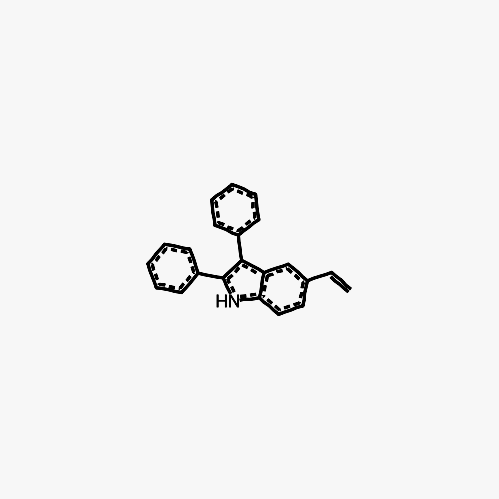 C=Cc1ccc2[nH]c(-c3ccccc3)c(-c3ccccc3)c2c1